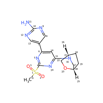 CS(=O)(=O)c1nc(-c2cnc(N)nc2)cc(N2C[C@@H]3CC[C@H]2CO3)n1